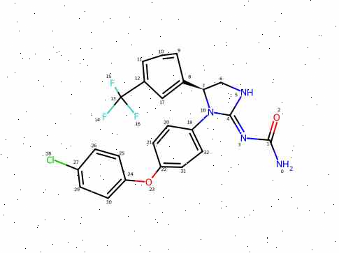 NC(=O)/N=C1\NC[C@H](c2cccc(C(F)(F)F)c2)N1c1ccc(Oc2ccc(Cl)cc2)cc1